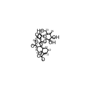 COC(=O)C1CC2OC(=O)C3=CCCC(C1(C)CC(OC1OC(CO)C(C)C(O)C1O)c1ccoc1)C32C